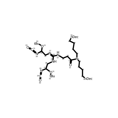 CCCCCCCCCCCCCCN(CCCCCCCCCCCCCC)C(=O)CCNC(=NCC(N=C=O)OC(C)(C)C)NCC(N=C=O)OC(C)(C)C